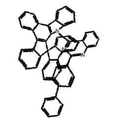 c1ccc(-c2ccc(-c3nc(-n4c5ccccc5c5c6ccccc6c6c(c54)C4(c5ccccc5-c5ccccc54)c4ccccc4-6)c4ccccc4n3)cc2)cc1